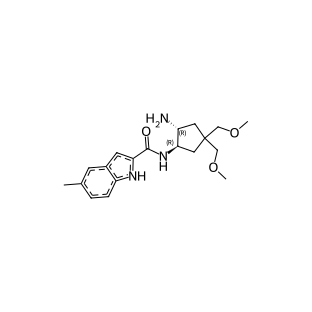 COCC1(COC)C[C@@H](N)[C@H](NC(=O)c2cc3cc(C)ccc3[nH]2)C1